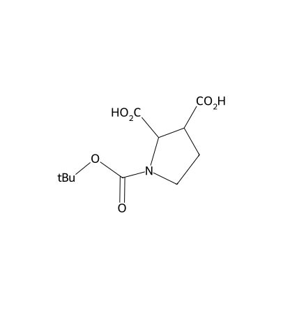 CC(C)(C)OC(=O)N1CCC(C(=O)O)C1C(=O)O